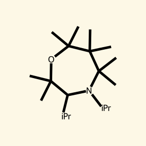 CC(C)C1N(C(C)C)C(C)(C)C(C)(C)C(C)(C)OC1(C)C